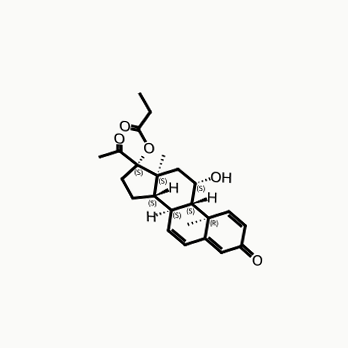 CCC(=O)O[C@@]1(C(C)=O)CC[C@H]2[C@@H]3C=CC4=CC(=O)C=C[C@]4(C)[C@H]3[C@@H](O)C[C@@]21C